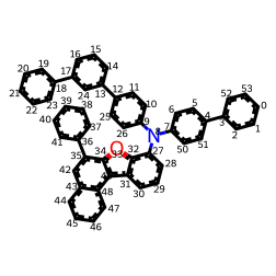 c1ccc(-c2ccc(N(c3ccc(-c4cccc(-c5ccccc5)c4)cc3)c3cccc4c3oc3c(-c5ccccc5)cc5ccccc5c34)cc2)cc1